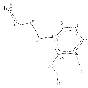 C=CCCc1cccc(I)c1CI